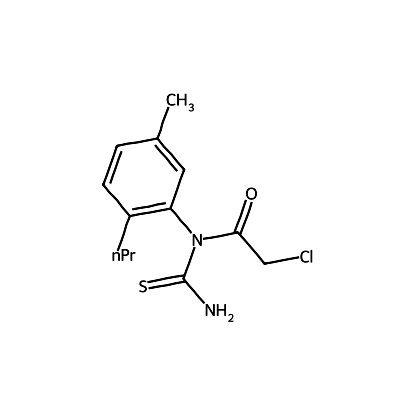 CCCc1ccc(C)cc1N(C(=O)CCl)C(N)=S